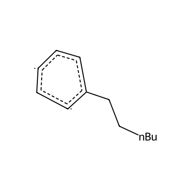 CCCCCCc1[c]c[c]cc1